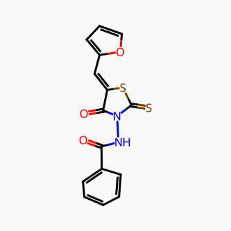 O=C(NN1C(=O)/C(=C/c2ccco2)SC1=S)c1ccccc1